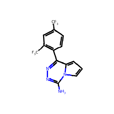 Nc1nnc(-c2ccc(C(F)(F)F)cc2C(F)(F)F)c2cccn12